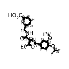 CCc1oc(-c2ccc(OC(F)F)c(OC(C)C)c2)nc1C(=O)NCc1cccc(C(=O)O)n1